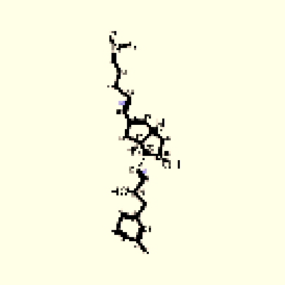 Cc1cccc(C[C@@H](O)/C=C/[C@@H]2[C@H]3CC(/C=C/CCCN(C)C)=C[C@H]3C[C@H]2O)c1